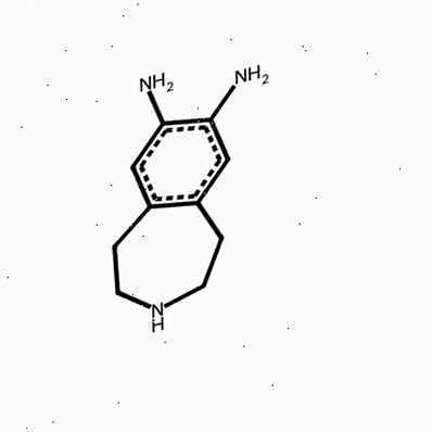 Nc1cc2c(cc1N)CCNCC2